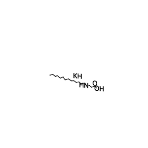 CCCCCCCCCCCCCCNCCC(=O)O.[KH]